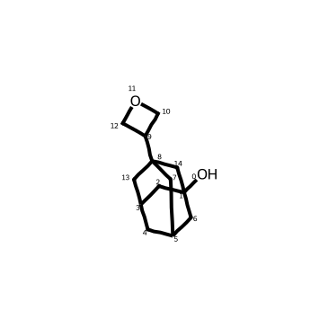 OC12CC3CC(C1)CC(C1COC1)(C3)C2